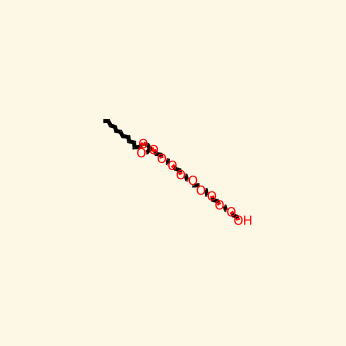 CCCCCCCCCCCC1OCC(OCCOCCOCCOCCOCCOCCOCCOCCOCCO)CO1